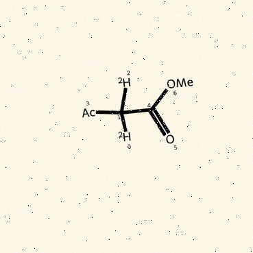 [2H]C([2H])(C(C)=O)C(=O)OC